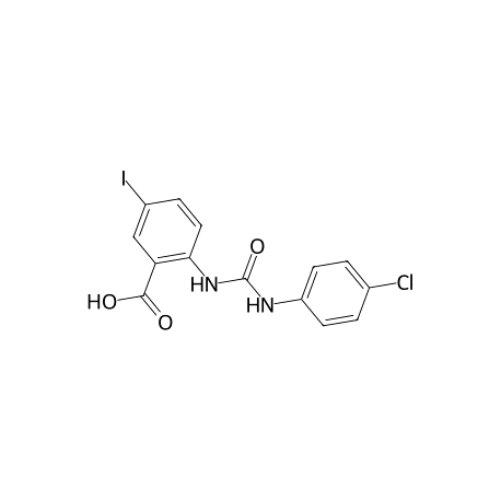 O=C(Nc1ccc(Cl)cc1)Nc1ccc(I)cc1C(=O)O